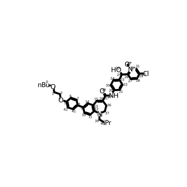 CCCCOCCOc1ccc(-c2ccc3c(c2)C=C(C(=O)Nc2ccc(C(O)c4ccc(Cl)c[n+]4[O-])cc2)CCN3CC(C)C)cc1